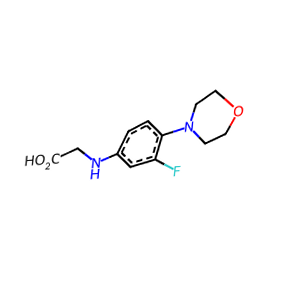 O=C(O)CNc1ccc(N2CCOCC2)c(F)c1